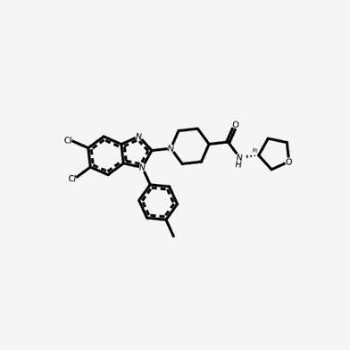 Cc1ccc(-n2c(N3CCC(C(=O)N[C@@H]4CCOC4)CC3)nc3cc(Cl)c(Cl)cc32)cc1